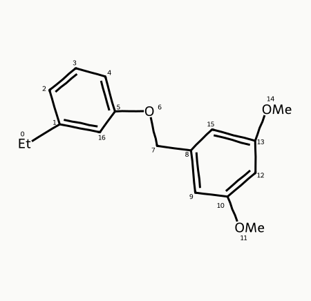 CCc1cccc(OCc2cc(OC)cc(OC)c2)c1